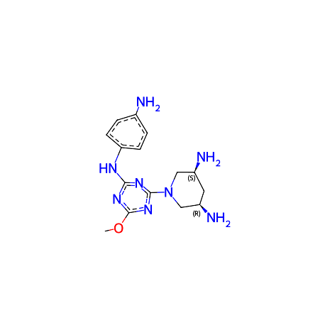 COc1nc(Nc2ccc(N)cc2)nc(N2C[C@H](N)C[C@H](N)C2)n1